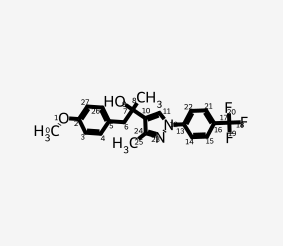 COc1ccc(CC(C)(O)c2cn(-c3ccc(C(F)(F)F)cc3)nc2C)cc1